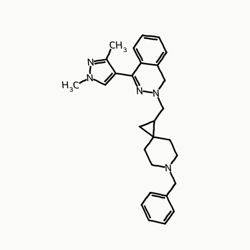 Cc1nn(C)cc1C1=NN(CC2CC23CCN(Cc2ccccc2)CC3)Cc2ccccc21